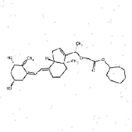 C=C1C(=CC=C2CCC[C@]3(C)C([C@H](C)OCC(=O)OC4CCCCCC4)=CC[C@@H]23)C[C@@H](O)C[C@@H]1O